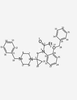 CCC(=O)N(CC1(N2CCN(Cc3ccccc3)CC2)CC1)c1ccccc1OCc1ccccc1